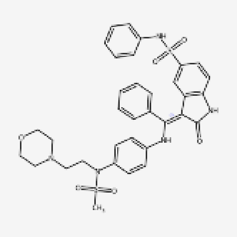 CS(=O)(=O)N(CCN1CCOCC1)c1ccc(N/C(=C2\C(=O)Nc3ccc(S(=O)(=O)Nc4ccccc4)cc32)c2ccccc2)cc1